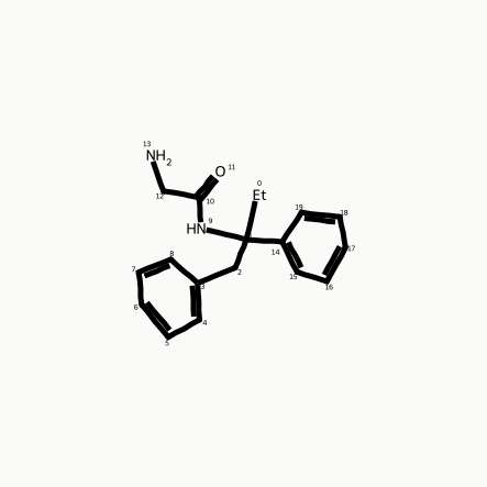 CCC(Cc1ccccc1)(NC(=O)CN)c1ccccc1